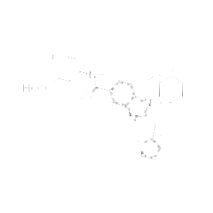 CC(C)C[C@@H](CCC(=O)O)NC(=O)c1ccc2c(c1)nc(Cc1cccs1)n2C1CCCC[C@H]1C